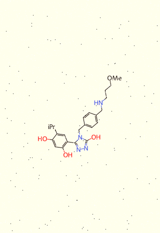 COCCCNCc1ccc(Cn2c(O)nnc2-c2cc(C(C)C)c(O)cc2O)cc1